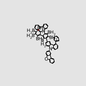 Bc1c(B)c(B)c2c(c1B)c1c(B)c(-c3ccc4c(c3)c3c(-c5ccccc5)cccc3n4-c3ccc4oc5ccccc5c4c3)c(B)c(B)c1n2-c1ccccc1-c1ccccc1